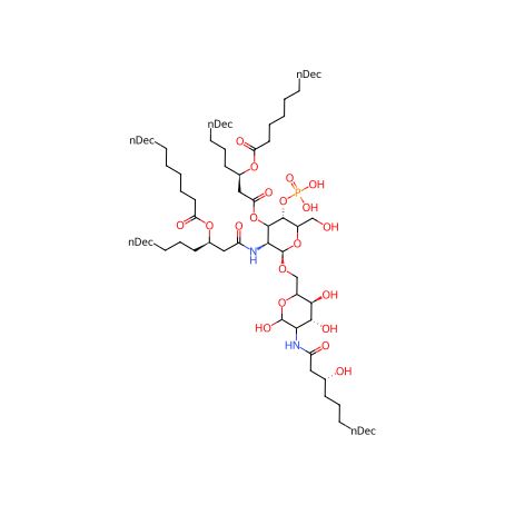 CCCCCCCCCCCCCCCC(=O)O[C@H](CCCCCCCCCCCCC)CC(=O)N[C@H]1C(OC(=O)C[C@@H](CCCCCCCCCCCCC)OC(=O)CCCCCCCCCCCCCCC)[C@H](OP(=O)(O)O)C(CO)O[C@H]1OCC1OC(O)C(NC(=O)C[C@H](O)CCCCCCCCCCCCC)[C@@H](O)[C@@H]1O